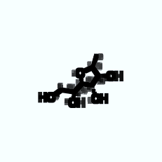 C[C@@H]1O[C@@H]([C@H](O)CO)[C@@H](O)[C@@H]1O